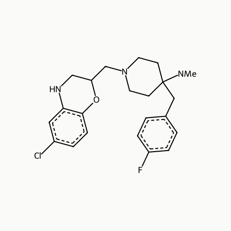 CNC1(Cc2ccc(F)cc2)CCN(CC2CNc3cc(Cl)ccc3O2)CC1